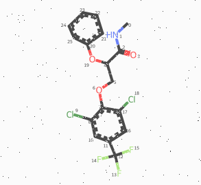 CNC(=O)C(COc1c(Cl)cc(C(F)(F)F)cc1Cl)Oc1ccccc1